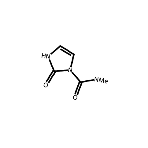 CNC(=O)n1cc[nH]c1=O